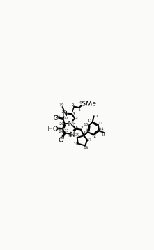 CSCC[C@H]1Cn2c(CC3(c4cc(C)cc(C)c4)CCCC3)nc(=O)c(O)c2C(=O)N1C